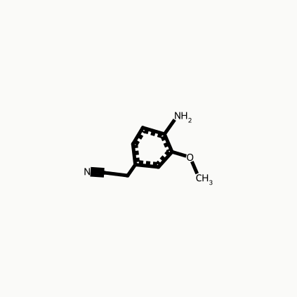 COc1cc(CC#N)ccc1N